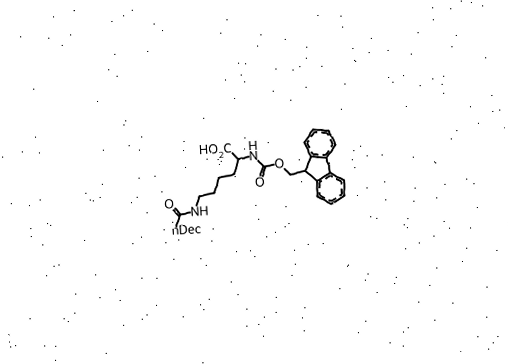 CCCCCCCCCCC(=O)NCCCCC(NC(=O)OCC1c2ccccc2-c2ccccc21)C(=O)O